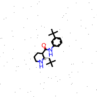 CC(C)(C)C[C@@H]1NCCCC1C(=O)Nc1cccc(C(C)(C)C)c1